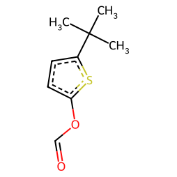 CC(C)(C)c1ccc(OC=O)s1